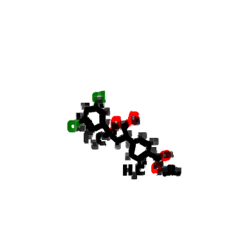 Cc1cc(C2=CC(c3cc(Cl)cc(Cl)c3)(C(F)(F)F)OC2=O)ccc1C(=O)OC(C)(C)C